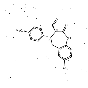 COc1ccc([C@H]2Cc3cc(C(F)(F)F)ccc3NC(=O)[C@@H]2C=S)cc1